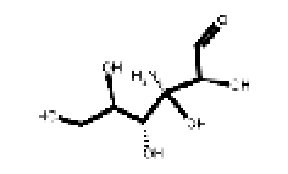 N[C@@](O)([C@H](O)C=O)[C@H](O)[C@H](O)CO